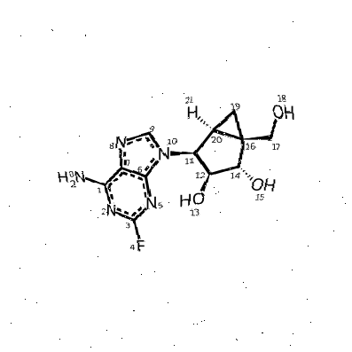 Nc1nc(F)nc2c1ncn2[C@@H]1[C@H](O)[C@@H](O)[C@@]2(CO)C[C@H]12